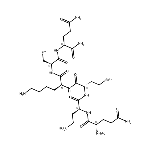 CSCC[C@H](NC(=O)[C@H](CCC(=O)O)NC(=O)[C@H](CCC(N)=O)NC(C)=O)C(=O)N[C@@H](CCCCN)C(=O)N[C@@H](CC(C)C)C(=O)N[C@@H](CCC(N)=O)C(N)=O